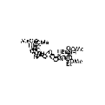 CC[C@H](COC)CN(Cc1nc2ccc3cc4c(cc3c2[nH]1)OCc1cc(-c2cnc([C@@H]3CC[C@H](C)N3C(=O)[C@@H](NC(=O)OC)[C@@H](C)OC)[nH]2)ccc1-4)C(=O)[C@@H](NC(=O)OC)[C@@H](C)CC